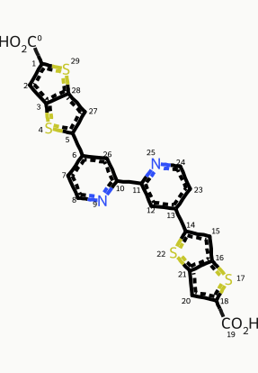 O=C(O)c1cc2sc(-c3ccnc(-c4cc(-c5cc6sc(C(=O)O)cc6s5)ccn4)c3)cc2s1